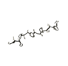 CCC(=O)OCCOCCOCCOC